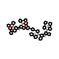 c1ccc(-c2cccc(N(c3cc4c5cc(N(c6cccc(-c7ccc(-c8ccc9oc%10c(N(c%11ccccc%11-c%11ccccc%11)c%11cc%12c%13cc(N(c%14ccccc%14-c%14ccccc%14)c%14cccc%15c%14oc%14ccccc%14%15)c%14ccccc%14c%13sc%12c%12ccccc%11%12)cccc%10c9c8)cc7)c6)c6cccc7c6oc6ccccc67)c6ccccc6c5sc4c4ccccc34)c3cccc4c3oc3ccccc34)c2)cc1